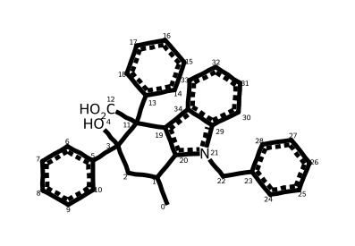 CC1CC(O)(c2ccccc2)C(C(=O)O)(c2ccccc2)c2c1n(Cc1ccccc1)c1ccccc21